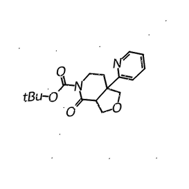 CC(C)(C)OC(=O)N1CCC2(c3ccccn3)COCC2C1=O